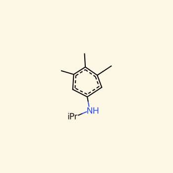 Cc1cc(NC(C)C)cc(C)c1C